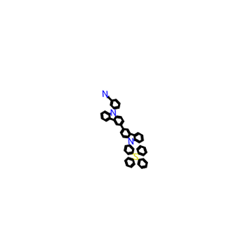 N#Cc1cccc(-n2c3ccccc3c3cc(-c4ccc5c(c4)c4ccccc4n5-c4cccc(S(c5ccccc5)(c5ccccc5)c5ccccc5)c4)ccc32)c1